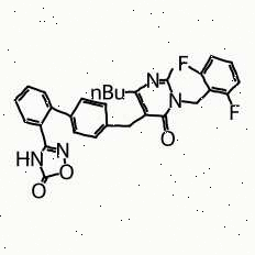 CCCCc1nc(C)n(Cc2c(F)cccc2F)c(=O)c1Cc1ccc(-c2ccccc2-c2noc(=O)[nH]2)cc1